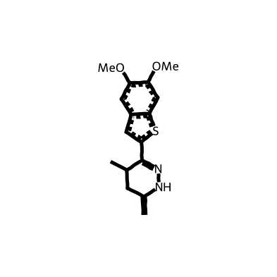 C=C1CC(C)C(c2cc3cc(OC)c(OC)cc3s2)=NN1